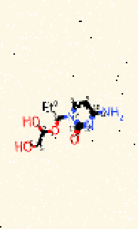 CC[C@@H](OC(O)CO)n1ccc(N)nc1=O